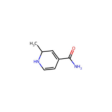 C[C]1C=C(C(N)=O)C=CN1